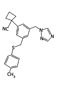 Cc1ccc(SCc2cc(Cn3cncn3)cc(C3(C#N)CCC3)c2)cc1